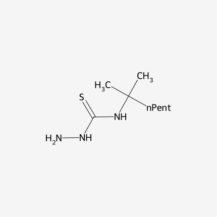 CCCCCC(C)(C)NC(=S)NN